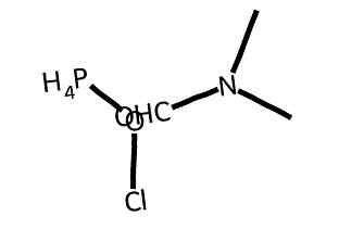 CN(C)C=O.[PH4]OCl